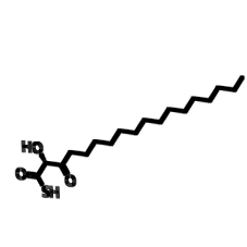 CCCCCCCCCCCCCCCC(=O)[C@H](O)C(=O)S